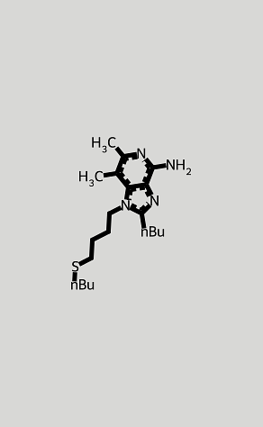 CCCCSCCCCn1c(CCCC)nc2c(N)nc(C)c(C)c21